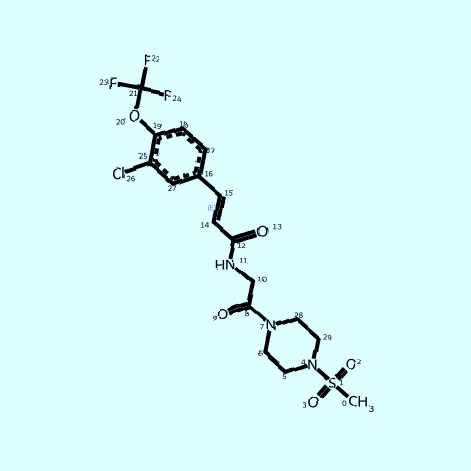 CS(=O)(=O)N1CCN(C(=O)CNC(=O)/C=C/c2ccc(OC(F)(F)F)c(Cl)c2)CC1